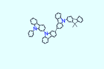 CC1(C)c2ccccc2-c2ccc(-n3c4ccccc4c4cc(-c5ccc6c7ccccc7n(-c7ccc8c9ccccc9n(-c9ccccc9)c8c7)c6c5)ccc43)cc21